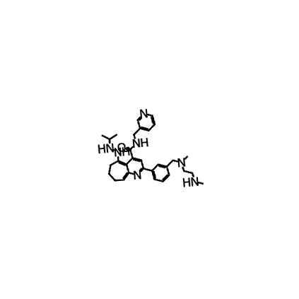 CNCCN(C)Cc1cccc(-c2cc(C(=O)NCc3cccnc3)c3c(n2)=CCCCC=3NNC(C)C)c1